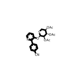 CC(=O)O[C@@H]1[C@@H](OC(C)=O)[C@@H](Oc2cccnc2-c2ccc(C#N)cc2)SC[C@H]1OC(C)=O